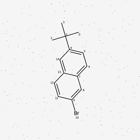 CC(C)(C)c1ccc2cc(Br)ccc2c1